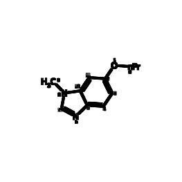 CCCOc1ccc2n[c]n(C)c2c1